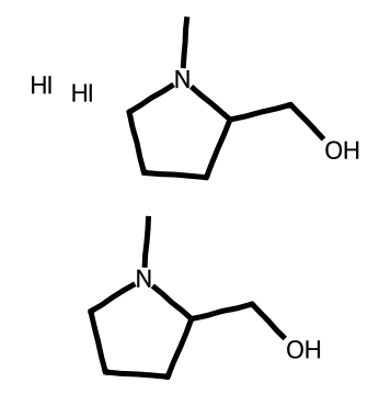 CN1CCCC1CO.CN1CCCC1CO.I.I